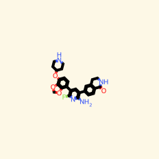 Nc1nc(F)c(-c2ccc(OC3CCNCC3)c3c2OCO3)cc1-c1ccc2c(c1)CCNC2=O